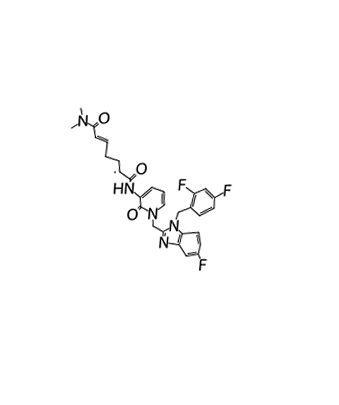 CN(C)C(=O)/C=C/CC[CH]C(=O)Nc1cccn(Cc2nc3cc(F)ccc3n2Cc2ccc(F)cc2F)c1=O